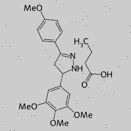 CCCC(=O)O.COc1ccc(C2=NNC(c3cc(OC)c(OC)c(OC)c3)C2)cc1